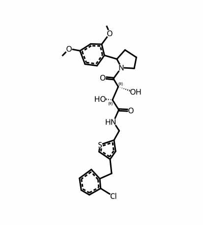 COc1ccc(C2CCCN2C(=O)[C@H](O)[C@@H](O)C(=O)NCc2cc(Cc3ccccc3Cl)cs2)c(OC)c1